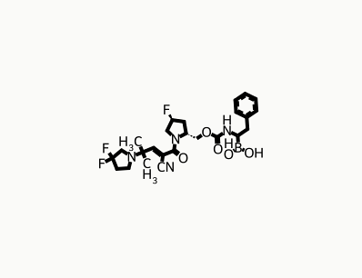 CC(C)(C=C(C#N)C(=O)N1C[C@@H](F)C[C@@H]1COC(=O)NC(Cc1ccccc1)B(O)O)N1CCC(F)(F)C1